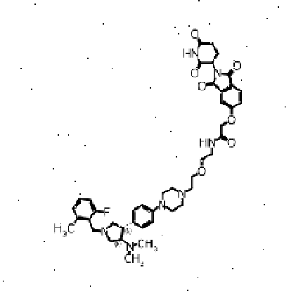 Cc1cccc(F)c1CN1C[C@H](c2ccc(N3CCN(CCOCCNC(=O)COc4ccc5c(c4)C(=O)N(C4CCC(=O)NC4=O)C5=O)CC3)cc2)[C@@H](N(C)C)C1